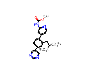 CCOC(=O)C(Cc1cc(-c2cncnc2)ccc1-c1ccnc(NC(=O)OC(C)(C)C)c1)C(=O)OCC